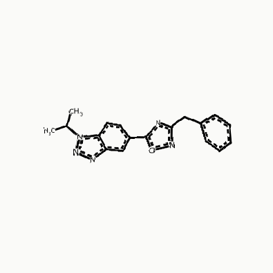 CC(C)n1nnc2cc(-c3nc(Cc4ccccc4)no3)ccc21